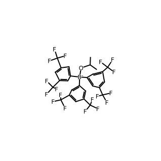 CC(C)O[B-](c1cc(C(F)(F)F)cc(C(F)(F)F)c1)(c1cc(C(F)(F)F)cc(C(F)(F)F)c1)c1cc(C(F)(F)F)cc(C(F)(F)F)c1